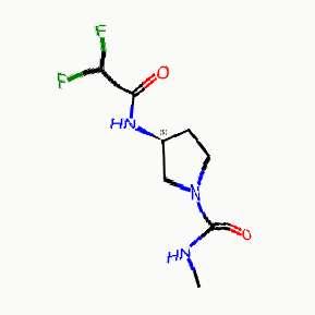 CNC(=O)N1CC[C@H](NC(=O)C(F)F)C1